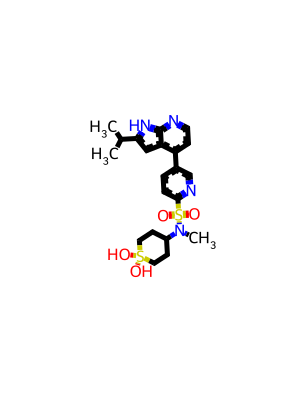 CC(C)c1cc2c(-c3ccc(S(=O)(=O)N(C)C4CCS(O)(O)CC4)nc3)ccnc2[nH]1